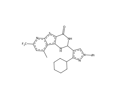 Cc1cc(C(F)(F)F)nc2sc3c(c12)NC(c1cn(C(C)C)nc1C1CCCCC1)NC3=O